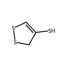 SC1=CSSC1